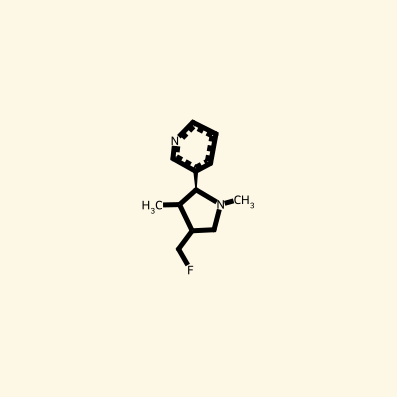 CC1C(CF)CN(C)[C@@H]1c1cccnc1